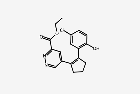 CCOC(=O)c1cc(C2=C(c3cc(Cl)ccc3O)CCC2)cnn1